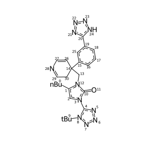 CCCCc1cn(-c2nnnn2C(C)(C)C)c(=O)n1CC1(c2cccc(-c3nnn[nH]3)c2)C=CN=CC1